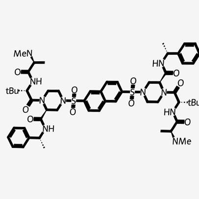 CN[C@@H](C)C(=O)N[C@H](C(=O)N1CCN(S(=O)(=O)c2ccc3cc(S(=O)(=O)N4CCN(C(=O)[C@@H](NC(=O)[C@H](C)NC)C(C)(C)C)[C@H](C(=O)N[C@H](C)c5ccccc5)C4)ccc3c2)C[C@H]1C(=O)N[C@H](C)c1ccccc1)C(C)(C)C